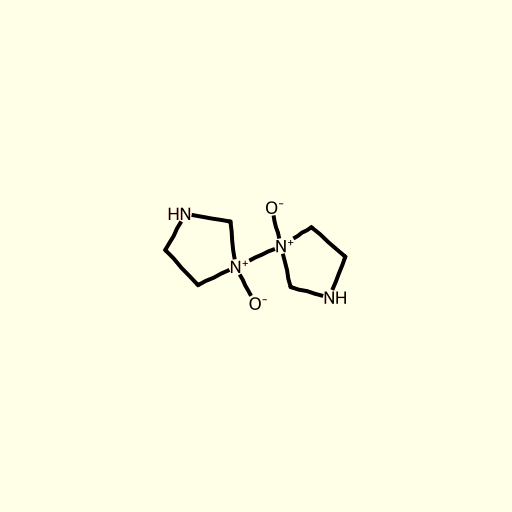 [O-][N+]1([N+]2([O-])CCNC2)CCNC1